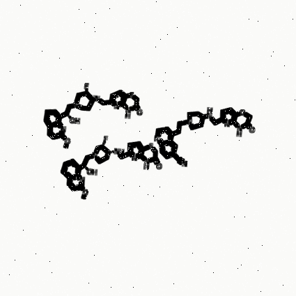 COc1ccc2cccc([C@@H](O)CN3CC[C@@H](NCc4ccc5c(n4)NC(=O)CS5)[C@@H](F)C3)c2n1.COc1ccc2cccc([C@@H](O)CN3CC[C@H](NCc4ccc5c(n4)NC(=O)CS5)[C@H](F)C3)c2n1.N#Cc1ccc2nccc(CCN3CCC(NCc4ccc5c(n4)NC(=O)CO5)CC3)c2c1